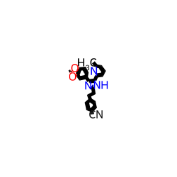 Cc1cccc(-c2[nH]c(CCc3ccc(C#N)cc3)nc2-c2ccc3c(c2)OCO3)n1